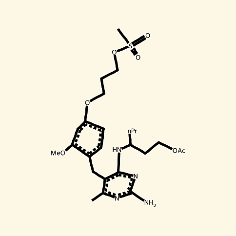 CCCC(CCOC(C)=O)Nc1nc(N)nc(C)c1Cc1ccc(OCCCOS(C)(=O)=O)cc1OC